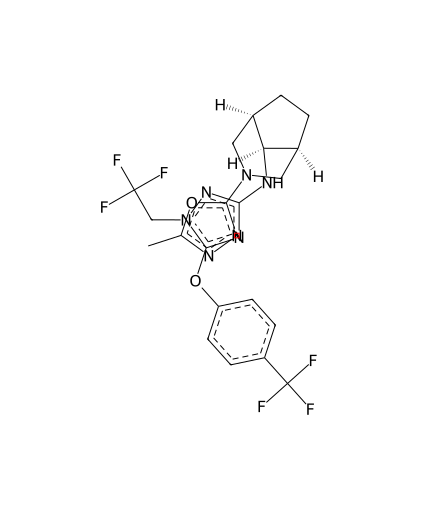 Cc1nnc(N2C[C@H]3CC[C@@H](C2)[C@H]3Nc2nc(Oc3ccc(C(F)(F)F)cc3)n(CC(F)(F)F)n2)o1